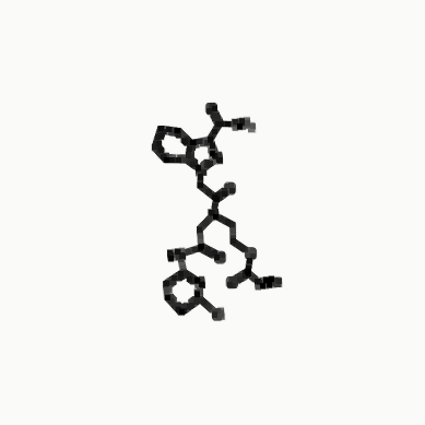 CNC(=O)OCCN(CC(=O)Nc1cccc(Cl)n1)C(=O)Cn1nc(C(N)=O)c2ccccc21